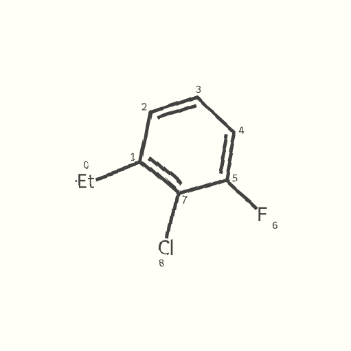 C[CH]c1cccc(F)c1Cl